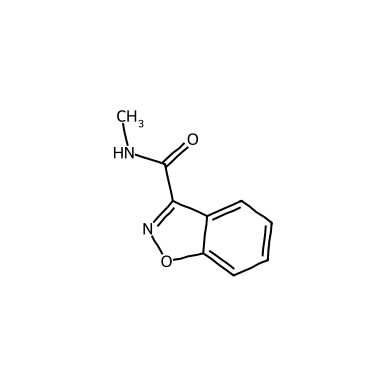 CNC(=O)c1noc2ccccc12